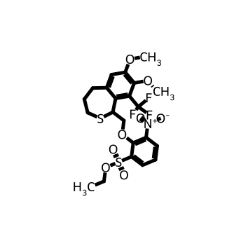 CCOS(=O)(=O)c1cccc([N+](=O)[O-])c1OCC1SCCCc2cc(OC)c(OC)c(C(F)(F)F)c21